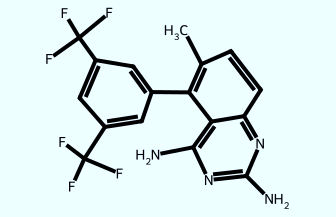 Cc1ccc2nc(N)nc(N)c2c1-c1cc(C(F)(F)F)cc(C(F)(F)F)c1